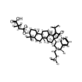 CC(C)C1=C2[C@H]3CCC4[C@@]5(C)CC[C@H](OC(=O)CC(C)(C)C(=O)O)C(C)(C)C5CC[C@@]4(C)[C@]3(C)CC[C@@]2(CCN(CCN(C)C)[C@H](C)c2cccnc2)CC1=O